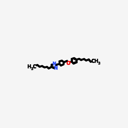 CCCCCCCc1ccc(OCC2CCC(c3ncc(CCCCCCC)cn3)CC2)cc1